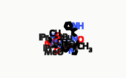 CC[C@H](C)[C@@H]([C@@H](CC(=O)N1CCC[C@H]1[C@H](OC)[C@@H](C)C(=O)NCCc1c[nH]c2ccccc12)OC)N(C)C(=O)[C@@H](NC(=O)[C@H](C(C)C)N(C)C(=O)OC(C)(C)C)C(C)C